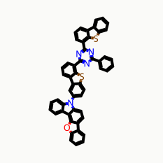 c1ccc(-c2nc(-c3cccc4c3sc3ccccc34)nc(-c3cccc4c3sc3ccc(-n5c6ccccc6c6c7oc8ccccc8c7ccc65)cc34)n2)cc1